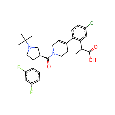 CC(C(=O)O)c1cc(Cl)ccc1C1=CCN(C(=O)[C@@H]2CN(C(C)(C)C)C[C@H]2c2ccc(F)cc2F)CC1